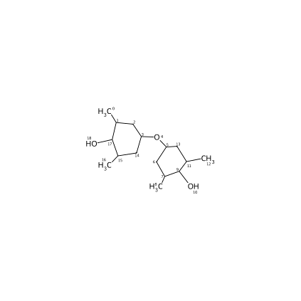 CC1CC(OC2CC(C)C(O)C(C)C2)CC(C)C1O